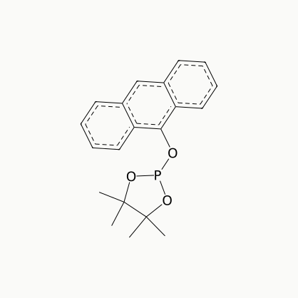 CC1(C)OP(Oc2c3ccccc3cc3ccccc23)OC1(C)C